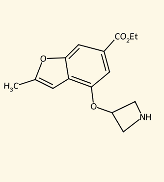 CCOC(=O)c1cc(OC2CNC2)c2cc(C)oc2c1